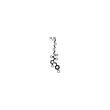 NCCOCCOCCNC(=O)C(=O)C1CCC(=O)N1Cc1ccc(Cl)cc1